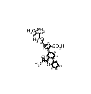 CN(C)C(=O)c1cc(-c2nn(COCC[Si](C)(C)C)nc2C(=O)O)ccc1-c1ccccc1